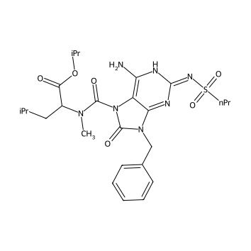 CCCS(=O)(=O)N=c1nc2c(c(N)[nH]1)n(C(=O)N(C)C(CC(C)C)C(=O)OC(C)C)c(=O)n2Cc1ccccc1